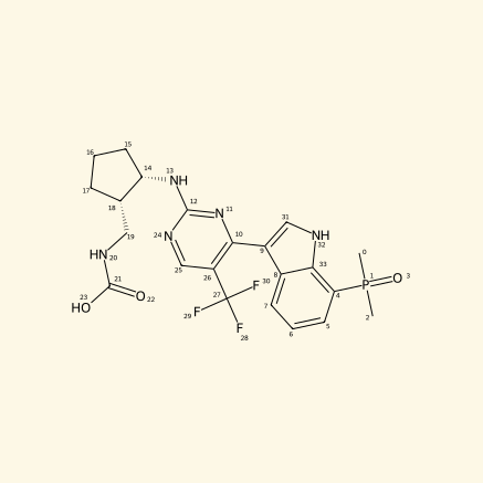 CP(C)(=O)c1cccc2c(-c3nc(N[C@H]4CCC[C@H]4CNC(=O)O)ncc3C(F)(F)F)c[nH]c12